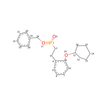 O=[PH](CCc1ccccc1OC1CCCCC1)OCc1ccccc1